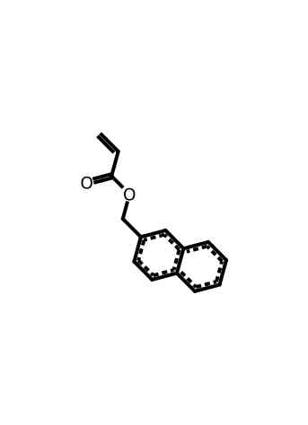 C=CC(=O)OCc1ccc2ccccc2c1